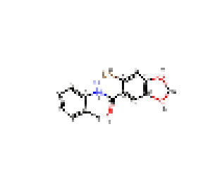 Cc1ccccc1NC(=O)c1cc2c(cc1Br)OCO2